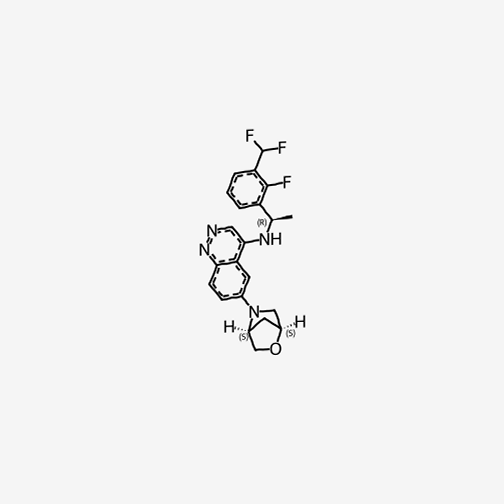 C[C@@H](Nc1cnnc2ccc(N3C[C@@H]4C[C@H]3CO4)cc12)c1cccc(C(F)F)c1F